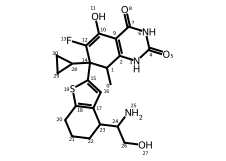 CC1c2[nH]c(=O)[nH]c(=O)c2C(O)=C(F)C1(c1cc2c(s1)CCCC2C(N)CO)C1CC1